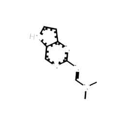 CN(C)C=Nc1ncc2[nH]ccc2n1